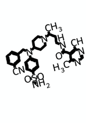 Cc1ncnc(C)c1C(=O)NCCC(C)N1CCC(N(Cc2cccc(C#N)c2)c2ccc(S(N)(=O)=O)cc2)CC1